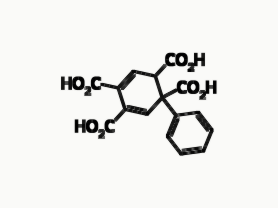 O=C(O)C1=CC(C(=O)O)C(C(=O)O)(c2ccccc2)C=C1C(=O)O